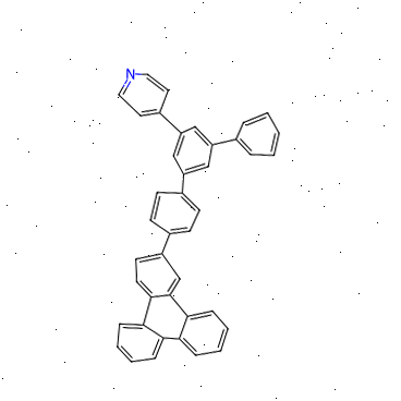 c1ccc(-c2cc(-c3ccncc3)cc(-c3ccc(-c4ccc5c6ccccc6c6ccccc6c5c4)cc3)c2)cc1